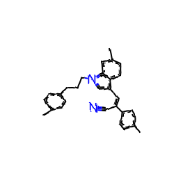 Cc1ccc(CCCn2cc(/C=C(\C#N)c3ccc(C)cc3)c3ccc(C)cc32)cc1